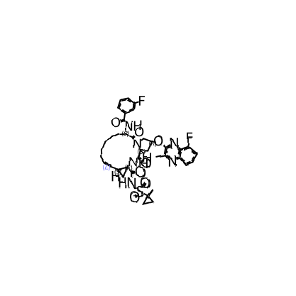 Cc1nc2cccc(F)c2nc1O[C@@H]1C[C@H]2C(=O)N[C@]3(C(=O)NS(=O)(=O)C4(C)CC4)C[C@H]3/C=C\CCCCC[C@H](NC(=O)c3cccc(F)c3)C(=O)N2C1